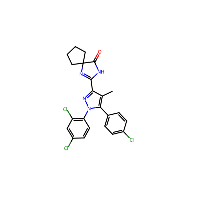 Cc1c(C2=NC3(CCCC3)C(=O)N2)nn(-c2ccc(Cl)cc2Cl)c1-c1ccc(Cl)cc1